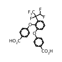 O=C(O)c1ccc(Oc2cccc(C(F)(C(F)F)C(F)(F)F)c2Oc2ccc(C(=O)O)cc2)cc1